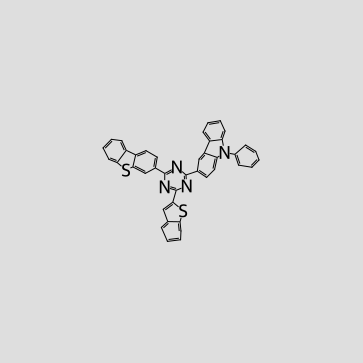 c1ccc(-n2c3ccccc3c3cc(-c4nc(-c5ccc6c(c5)sc5ccccc56)nc(-c5cc6ccccc6s5)n4)ccc32)cc1